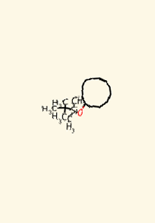 CC(C)(C)[Si](C)(C)OC1CCCC/C=C\CCCCC1